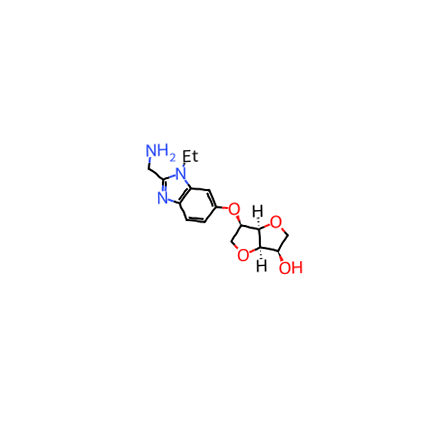 CCn1c(CN)nc2ccc(O[C@@H]3CO[C@H]4[C@@H]3OC[C@H]4O)cc21